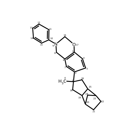 CC1(c2ccc3c(c2)CN(c2ccccc2)CO3)CC2C3CCC(C3)C2C1